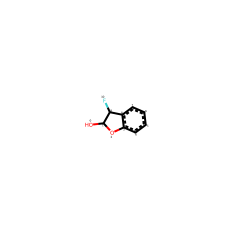 OC1Oc2ccccc2C1F